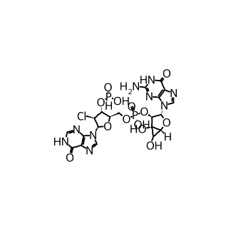 Nc1nc2c(ncn2[C@@H]2O[C@@H]3C(O)[C@]3(O)[C@H]2OP(=O)(O)OC[C@H]2O[C@@H](n3cnc4c(=O)[nH]cnc43)[C@@H](Cl)[C@@H]2O[PH](=O)O)c(=O)[nH]1